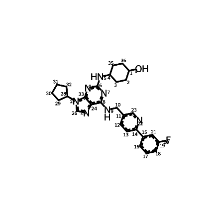 OC1CCC(Nc2nc(NCc3ccc(-c4cccc(F)c4)nc3)c3ncn(C4CCCC4)c3n2)CC1